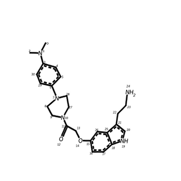 CN(C)c1ccc(N2CCN(C(=O)COc3ccc4[nH]cc(CCN)c4c3)CC2)cc1